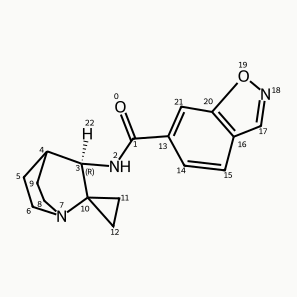 O=C(N[C@@H]1C2CCN(CC2)C12CC2)c1ccc2cnoc2c1